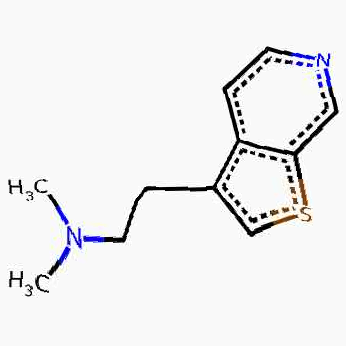 CN(C)CCc1csc2cnccc12